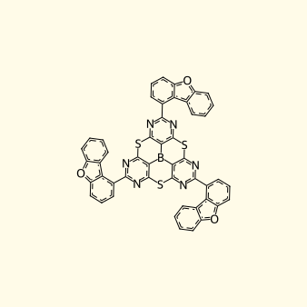 c1ccc2c(c1)oc1cccc(-c3nc4c5c(n3)Sc3nc(-c6cccc7oc8ccccc8c67)nc6c3B5c3c(nc(-c5cccc7oc8ccccc8c57)nc3S6)S4)c12